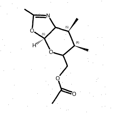 CC(=O)OCC1O[C@H]2OC(C)=NC2[C@@H](C)[C@H]1C